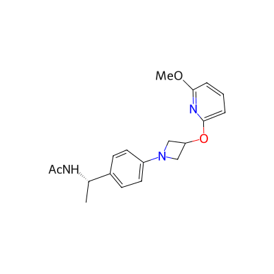 COc1cccc(OC2CN(c3ccc([C@H](C)NC(C)=O)cc3)C2)n1